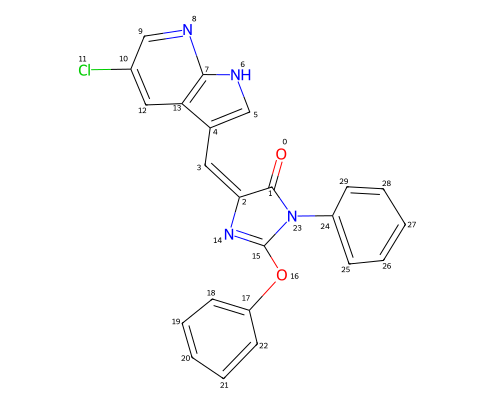 O=C1C(=Cc2c[nH]c3ncc(Cl)cc23)N=C(Oc2ccccc2)N1c1ccccc1